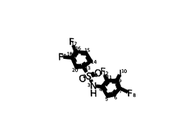 O=S(=O)(Nc1ccc(F)c(I)c1F)c1ccc(F)c(F)c1